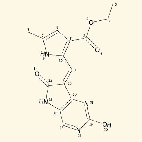 CCOC(=O)c1cc(C)[nH]c1/C=C1\C(=O)Nc2cnc(O)nc21